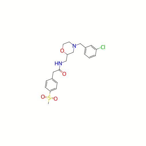 CS(=O)(=O)c1ccc(CC(=O)NCC2CN(Cc3cccc(Cl)c3)CCO2)cc1